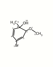 COC1C=C(Br)C=CC1(C)O